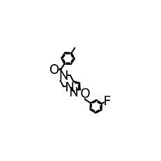 Cc1ccc(C(=O)N2CCn3nc(OCc4cccc(F)c4)cc3C2)cc1